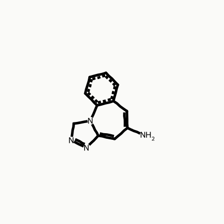 NC1=Cc2ccccc2N2CN=NC2=C1